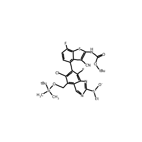 CC[S+]([O-])c1ncc2c(CO[Si](C)(C)C(C)(C)C)c(Cl)c(-c3ccc(F)c4sc(NC(=O)OC(C)(C)C)c(C#N)c34)c(F)c2n1